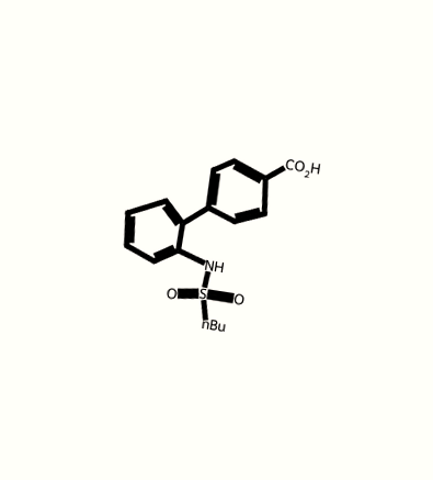 CCCCS(=O)(=O)Nc1ccccc1-c1ccc(C(=O)O)cc1